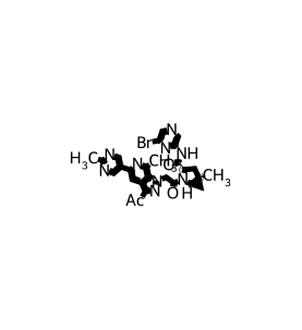 CC(=O)c1nn(CC(=O)N2[C@H](C(=O)Nc3cncc(Br)n3)C[C@@]3(C)C[C@@H]23)c2c(C)nc(-c3cnc(C)nc3)cc12